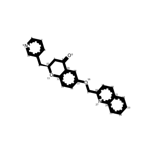 O=C1C[C@H](Cc2cccnc2)Oc2ccc(OCc3ccc4ccccc4n3)cc21